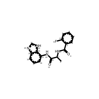 CC(NC(=O)c1ccccc1F)C(=O)Nc1cccc2nc[nH]c12